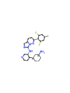 Cc1cc(F)c(-c2ccc3cnc(Nc4cnccc4[C@@H]4CCC[C@H](N)C4)n3n2)c(F)c1